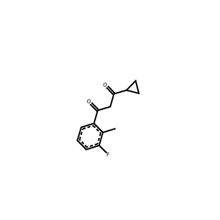 Cc1c(F)cccc1C(=O)CC(=O)C1CC1